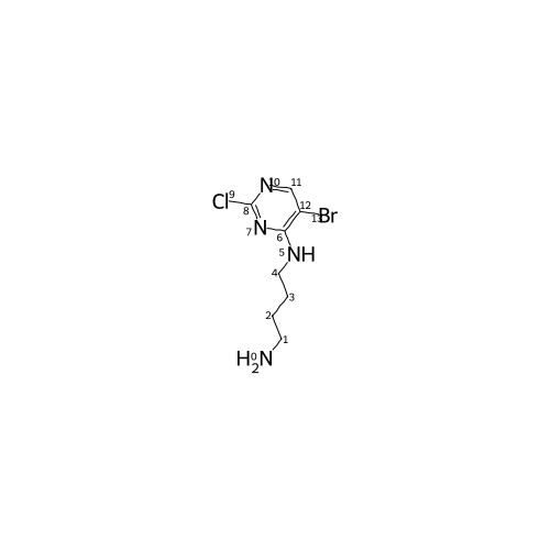 NCCCCNc1nc(Cl)ncc1Br